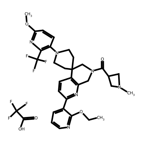 CCOc1ncccc1-c1ccc2c(n1)CN(C(=O)C1CN(C)C1)CC21CCN(c2ccc(OC)nc2C(F)(F)F)CC1.O=C(O)C(F)(F)F